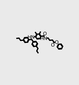 CCCc1ccc(C(Nc2ccc(C(=O)NCCCC(=O)Oc3ccccc3)c(C)c2C)c2ccc(CCC)cc2)cc1